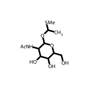 CSC(C)OC1OC(CO)C(O)C(O)C1NC(C)=O